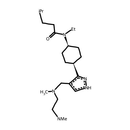 CCN(C(=O)CCC(C)C)[C@H]1CC[C@@H](c2n[nH]cc2CN(C)CCNC)CC1